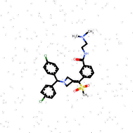 CN(C)CCNC(=O)c1cccc(C(=C2CN(C(c3ccc(Cl)cc3)c3ccc(Cl)cc3)C2)S(C)(=O)=O)c1